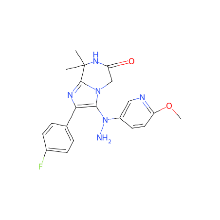 COc1ccc(N(N)c2c(-c3ccc(F)cc3)nc3n2CC(=O)NC3(C)C)cn1